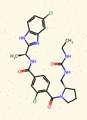 CCNC(=O)NC[C@H]1CCCN1C(=O)c1ccc(C(=O)N[C@@H](C)c2nc3cc(Cl)ccc3[nH]2)cc1Cl